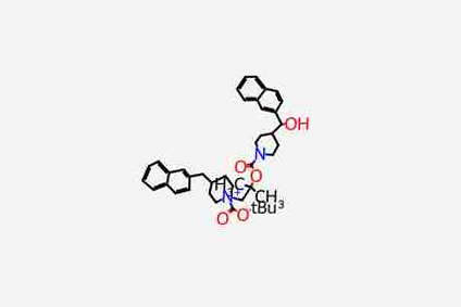 CC(C)(C)OC(=O)[N+]1(CC(C)(C)OC(=O)N2CCC(C(O)c3ccc4ccccc4c3)CC2)CCC(Cc2ccc3ccccc3c2)CC1